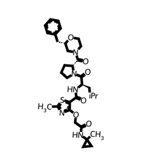 Cc1nc(OCC(=O)NC2(C)CC2)c(C(=O)N[C@H](CC(C)C)C(=O)N2CCC[C@@H]2C(=O)N2CCO[C@@H](Cc3ccccc3)C2)s1